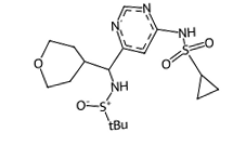 CC(C)(C)[S+]([O-])NC(c1cc(NS(=O)(=O)C2CC2)ncn1)C1CCOCC1